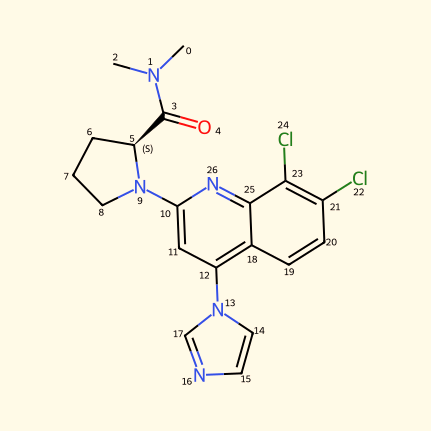 CN(C)C(=O)[C@@H]1CCCN1c1cc(-n2ccnc2)c2ccc(Cl)c(Cl)c2n1